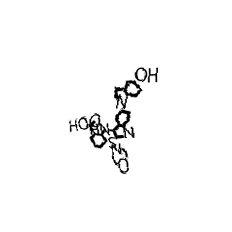 O=C(O)c1ccccc1Nc1c(SN2CCOCC2)cnc2ccc(-n3ccc4cc(O)ccc43)cc12